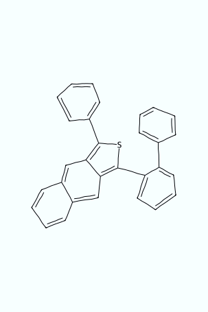 c1ccc(-c2ccccc2-c2sc(-c3ccccc3)c3cc4ccccc4cc23)cc1